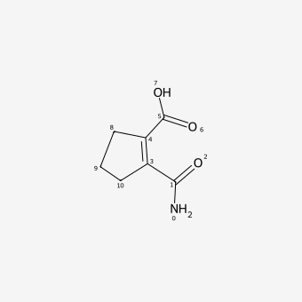 NC(=O)C1=C(C(=O)O)CCC1